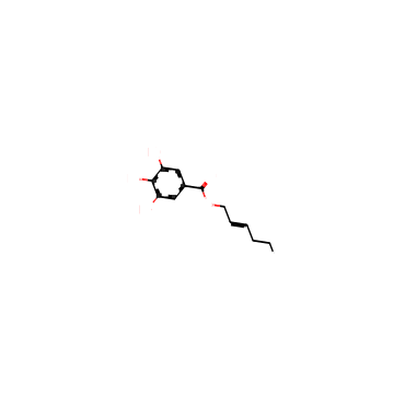 CCCC=CCOC(=O)c1cc(O)c(O)c(O)c1